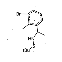 Cc1c(Br)cccc1C(C)NSC(C)(C)C